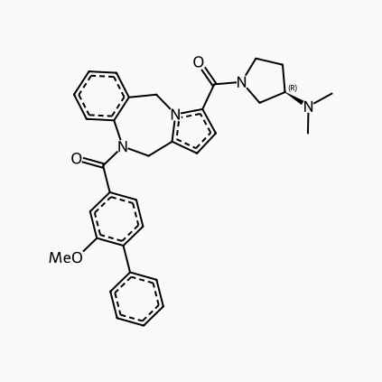 COc1cc(C(=O)N2Cc3ccc(C(=O)N4CC[C@@H](N(C)C)C4)n3Cc3ccccc32)ccc1-c1ccccc1